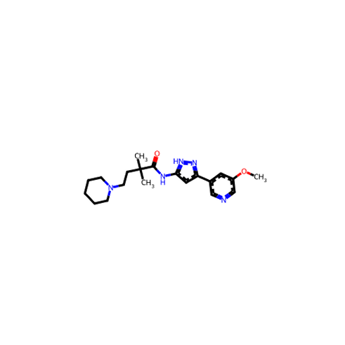 COc1cncc(-c2cc(NC(=O)C(C)(C)CCN3CCCCC3)[nH]n2)c1